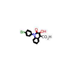 O=C(O)c1c(O)c(=O)n(-c2ccc(Br)cc2)c2ccccc12